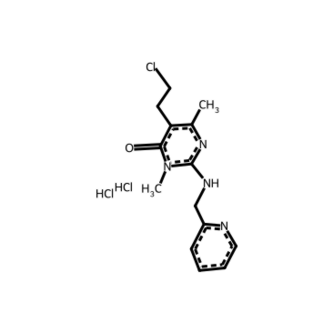 Cc1nc(NCc2ccccn2)n(C)c(=O)c1CCCl.Cl.Cl